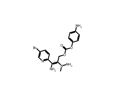 CN(N)/C(COC(=O)Oc1ccc(N)cc1)=C(\N)c1ccc(Br)cn1